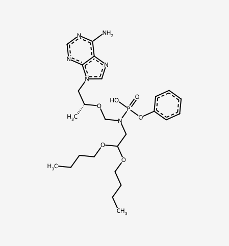 CCCCOC(CN(CO[C@H](C)Cn1cnc2c(N)ncnc21)P(=O)(O)Oc1ccccc1)OCCCC